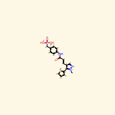 Cn1ncc(C=CC(=O)Nc2ccc(CP(=O)(O)O)cc2)c1-c1cccs1